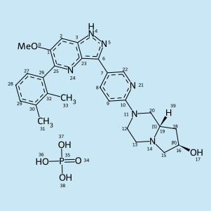 COc1cc2[nH]nc(-c3ccc(N4CCN5C[C@H](O)C[C@H]5C4)nc3)c2nc1-c1cccc(C)c1C.O=P(O)(O)O